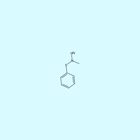 CCCN(C)Sc1[c]cccc1